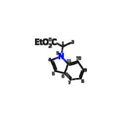 CCOC(=O)C(C)n1ccc2ccccc21